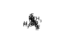 C[C@@H]1CC(F)(F)c2ncnc(N3CCN(C(=O)[C@@H](c4ccc(C(F)(F)F)cc4F)[C@@H]4CCC(C)(C)N4)CC3)c21